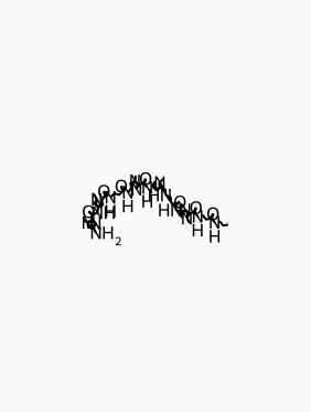 CCCNC(=O)CCNC(=O)c1nc(NC(=O)CCNCc2cc(NC(=O)c3nc(NC(=O)CCNC(=O)c4cc(NC(=O)c5nc(N)cn5C)cn4C)cn3C)cn2C)cn1C